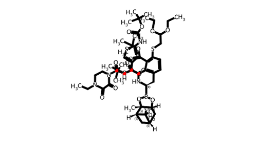 CCOC(CSc1ccc(C[C@H](NC(=O)C(NC(=O)N2CCN(CC)C(=O)C2=O)c2csc(NC(=O)OC(C)(C)C)n2)B2O[C@@H]3C[C@@H]4C[C@@H](C4(C)C)[C@]3(C)O2)c(OC(=O)OC(C)(C)C)c1C(=O)OC(C)(C)C)OCC